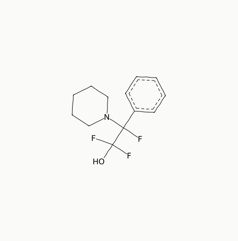 OC(F)(F)C(F)(c1ccccc1)N1CCCCC1